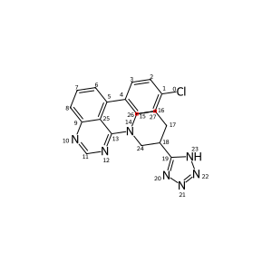 Clc1ccc(-c2cccc3ncnc(N4CCCC(c5nnn[nH]5)C4)c23)cc1